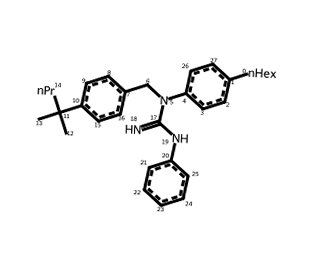 CCCCCCc1ccc(N(Cc2ccc(C(C)(C)CCC)cc2)C(=N)Nc2ccccc2)cc1